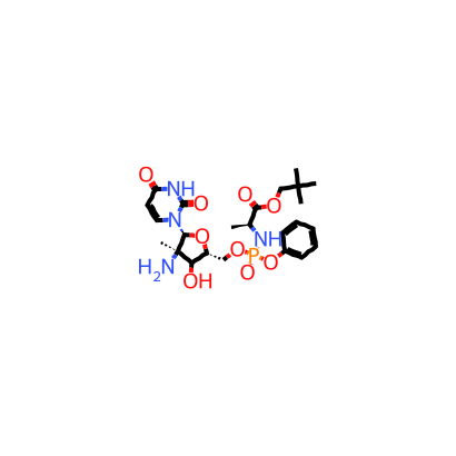 C[C@H](NP(=O)(OC[C@H]1O[C@@H](n2ccc(=O)[nH]c2=O)[C@](C)(N)C1O)Oc1ccccc1)C(=O)OCC(C)(C)C